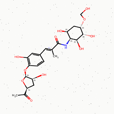 CC(=O)[C@@H]1C[C@H](O)[C@H](Oc2ccc(/C=C(\C)C(=O)N[C@@H]3[C@H](O)[C@@H](O)[C@@H](OCO)C[C@@H]3O)cc2O)O1